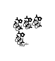 CC(C)N=C(C(=O)[O-])N(C1=C(C(C)C)C=CC1)C(C)C.CC(C)N=C(C(=O)[O-])N(C1=C(C(C)C)C=CC1)C(C)C.CC(C)N=C(C(=O)[O-])N(C1=C(C(C)C)C=CC1)C(C)C.CC(C)N=C(C(=O)[O-])N(C1=C(C(C)C)C=CC1)C(C)C.[Ru+4]